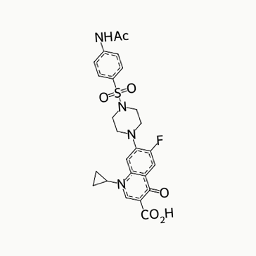 CC(=O)Nc1ccc(S(=O)(=O)N2CCN(c3cc4c(cc3F)c(=O)c(C(=O)O)cn4C3CC3)CC2)cc1